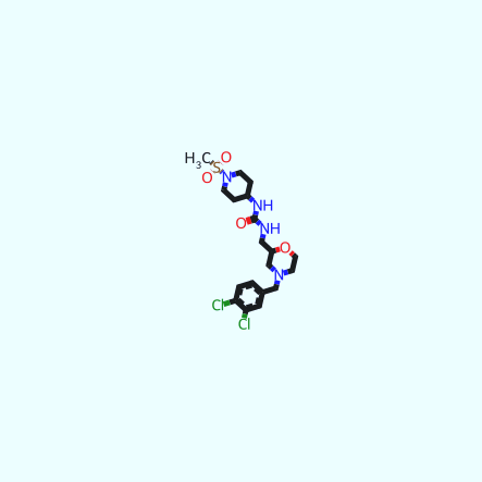 CS(=O)(=O)N1CCC(NC(=O)NCC2CN(Cc3ccc(Cl)c(Cl)c3)CCO2)CC1